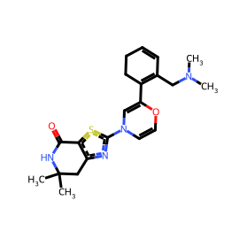 CN(C)CC1=C(C2=CN(c3nc4c(s3)C(=O)NC(C)(C)C4)C=CO2)CCC=C1